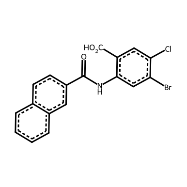 O=C(Nc1cc(Br)c(Cl)cc1C(=O)O)c1ccc2ccccc2c1